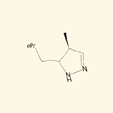 CCCCC1NN=C[C@@H]1C